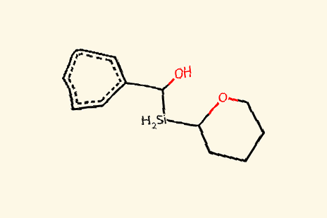 OC([SiH2]C1CCCCO1)c1ccccc1